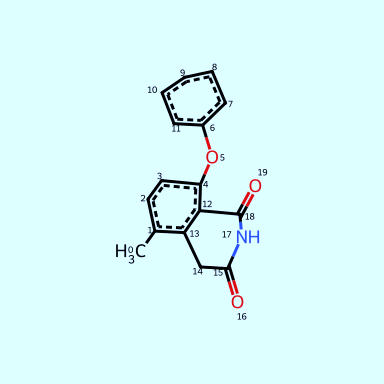 Cc1ccc(Oc2ccccc2)c2c1CC(=O)NC2=O